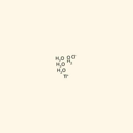 O.O.O.O.[Cl-].[Tl+]